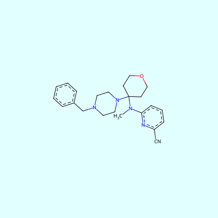 CN(c1cccc(C#N)n1)C1(N2CCN(Cc3ccccc3)CC2)CCOCC1